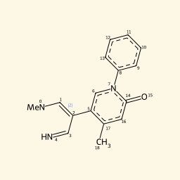 CN/C=C(\C=N)c1cn(-c2ccccc2)c(=O)cc1C